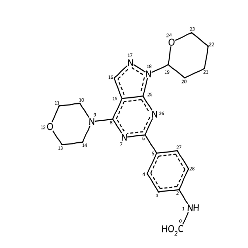 O=C(O)Nc1ccc(-c2nc(N3CCOCC3)c3cnn(C4CCCCO4)c3n2)cc1